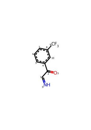 N=CC(=O)c1cccc(C(F)(F)F)c1